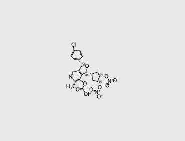 Cc1ncc2c(c1OC(=O)O)[C@@H](C1C[C@H](O[N+](=O)[O-])[C@H](O[N+](=O)[O-])C1)O[C@H]2c1ccc(Cl)cc1